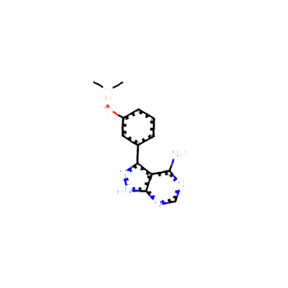 C[SiH](C)Oc1cccc(-c2n[nH]c3ncnc(N)c23)c1